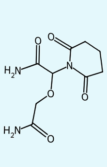 NC(=O)COC(C(N)=O)N1C(=O)CCCC1=O